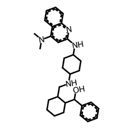 CN(C)c1cc(NC2CCC(NCC3CCCCC3C(O)c3ccccc3)CC2)nc2ccccc12